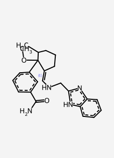 COC1(c2cccc(C(N)=O)c2)/C(=C/NCc2nc3ccccc3[nH]2)CCCC1C